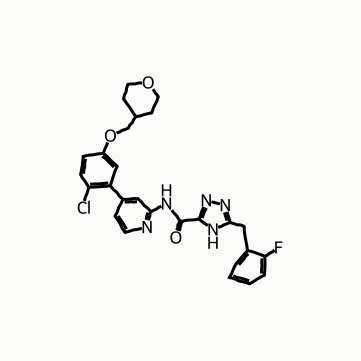 O=C(Nc1cc(-c2cc(OCC3CCOCC3)ccc2Cl)ccn1)c1nnc(Cc2ccccc2F)[nH]1